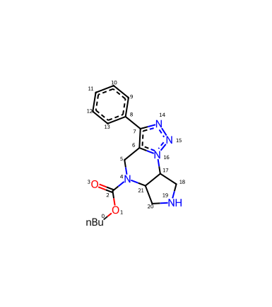 CCCCOC(=O)N1Cc2c(-c3ccccc3)nnn2C2CNCC21